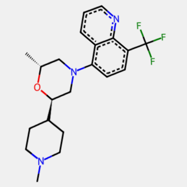 C[C@@H]1CN(c2ccc(C(F)(F)F)c3ncccc23)C[C@@H](C2CCN(C)CC2)O1